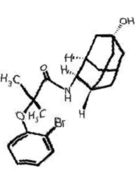 CC(C)(Oc1ccccc1Br)C(=O)N[C@H]1[C@@H]2CC3C[C@H]1C[C@](O)(C3)C2